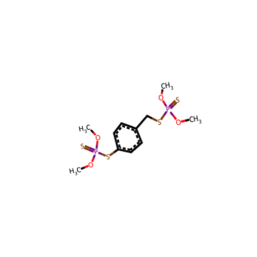 COP(=S)(OC)SCc1ccc(SP(=S)(OC)OC)cc1